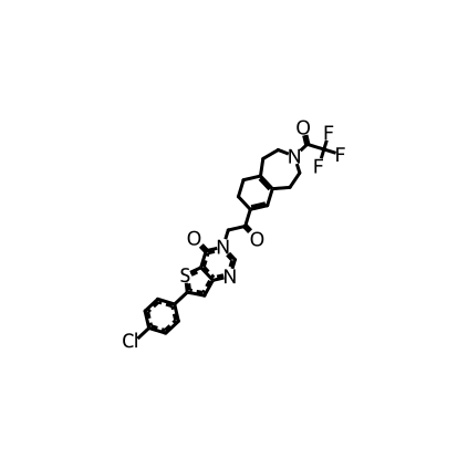 O=C(Cn1cnc2cc(-c3ccc(Cl)cc3)sc2c1=O)C1=CC2=C(CC1)CCN(C(=O)C(F)(F)F)CC2